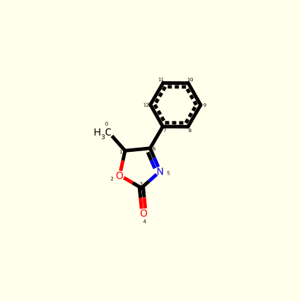 CC1OC(=O)N=C1c1ccccc1